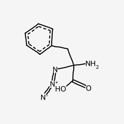 [N-]=[N+]=NC(N)(Cc1ccccc1)C(=O)O